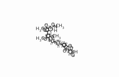 CNC(=O)N1CCc2c(-c3cc(OC)c(CN4CC(N5CCN(c6ccc7c(c6)C(=O)N(C6CCC(=O)NC6=O)C7=O)CC5)C4)c(OC)c3)cn(C)c(=O)c2C1